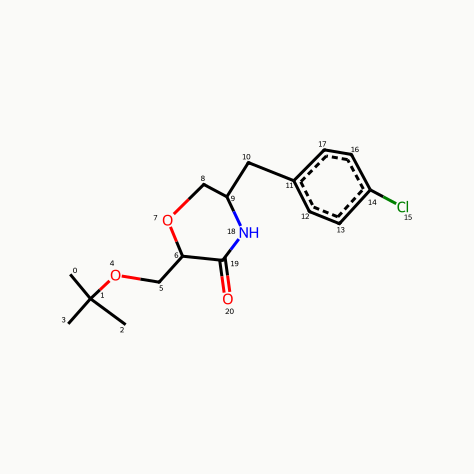 CC(C)(C)OCC1OCC(Cc2ccc(Cl)cc2)NC1=O